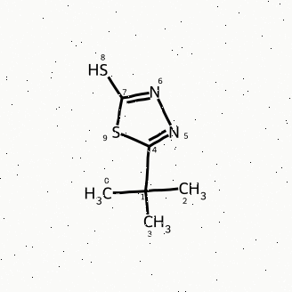 CC(C)(C)c1nnc(S)s1